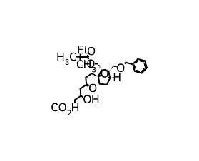 CCC(C)(C)C(=O)OC[C@@H]1[C@H](COCc2ccccc2)[C@H]2CC[C@@]1(CCC(=O)CC(O)CC(=O)O)O2